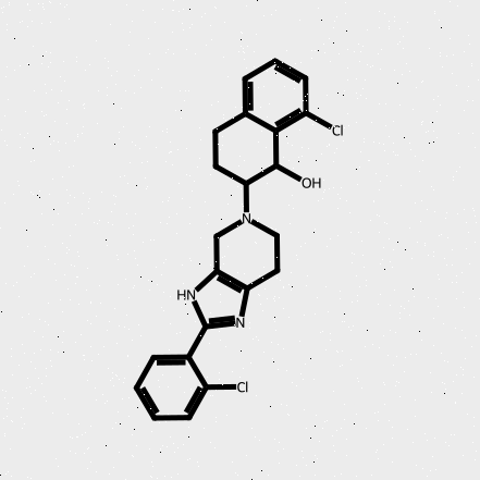 OC1c2c(Cl)cccc2CCC1N1CCc2nc(-c3ccccc3Cl)[nH]c2C1